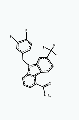 NC(=O)c1cccc2c1c1[c]cc(C(F)(F)F)cc1n2Cc1ccc(F)c(F)c1